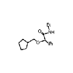 CCNC(=O)C(OCC1CCCC1)C(C)C